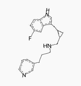 Fc1ccc2[nH]cc(C3CC3CNCCCc3cccnc3)c2c1